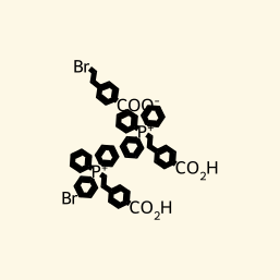 O=C(O)c1ccc(CC[P+](c2ccccc2)(c2ccccc2)c2ccccc2)cc1.O=C(O)c1ccc(CC[P+](c2ccccc2)(c2ccccc2)c2ccccc2)cc1.O=C([O-])c1ccc(CCBr)cc1.[Br-]